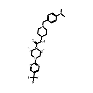 C[C@@H]1CN(c2ncc(C(F)(F)F)cn2)C[C@H](C)N1C(=O)NC1CCN(Cc2ccc(N(C)C)cc2)CC1